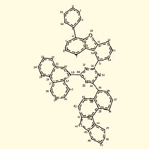 c1ccc(-c2cccc3c2oc2cccc(-c4nc(-c5cc6ccccc6c6ccccc56)nc(-c5cccc6c5ccc5oc7ccccc7c56)n4)c23)cc1